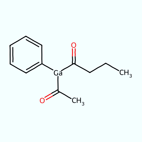 CCC[C](=O)[Ga]([C](C)=O)[c]1ccccc1